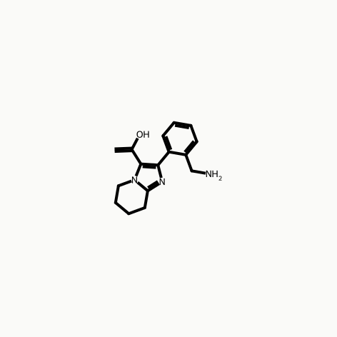 C=C(O)c1c(-c2ccccc2CN)nc2n1CCCC2